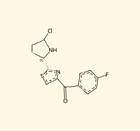 O=C(c1ccc(F)cc1)c1csc([C@@H]2CCC(Cl)N2)n1